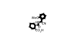 COc1ccccc1C(C#N)NC(=O)[C@@H]1CCCC[C@H]1C(=O)O